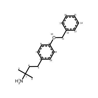 CC(C)(N)CCc1ccc(OCc2ccccc2)cc1